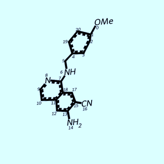 COc1ccc(CNc2nccc3cc(N)c(C#N)cc23)cc1